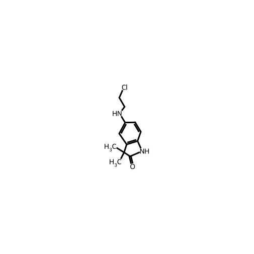 CC1(C)C(=O)Nc2ccc(NCCCl)cc21